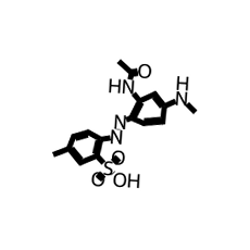 CNc1ccc(N=Nc2ccc(C)cc2S(=O)(=O)O)c(NC(C)=O)c1